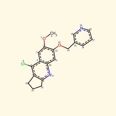 COc1cc2c(Cl)c3c(nc2cc1OCc1cccnc1)CCC3